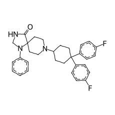 O=C1NCN(c2ccccc2)C12CCN(C1CCC(c3ccc(F)cc3)(c3ccc(F)cc3)CC1)CC2